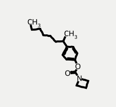 CCCCCCC(C)c1ccc(OC(=O)N2CCC2)cc1